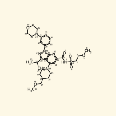 COCCS(=O)(=O)NC(=O)c1cc(N2CCC(COC)CC2)c2c(C(C)C)nn(-c3ccnc(N4CCOCC4)c3)c2n1